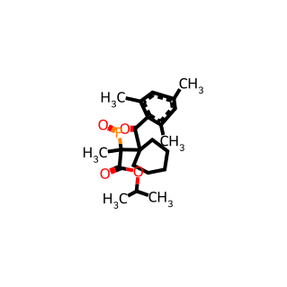 Cc1cc(C)c(C(=O)C2(C(C)(P=O)C(=O)OC(C)C)CCCCC2)c(C)c1